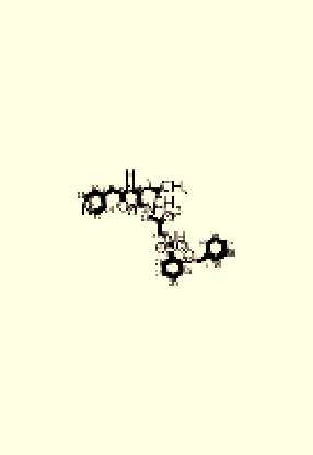 CC(C)C[C@H](NC(=O)Cc1ccncc1)C(=O)NCC(=O)CNS(=O)(=O)c1ccccc1OCc1ccccc1